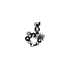 C=CC(=O)N1CCN(c2nc(=O)n3c4nc(c(Cl)cc24)-c2c(F)cccc2OCCCCOc2ccnc(C(C)C)c2-3)CC1